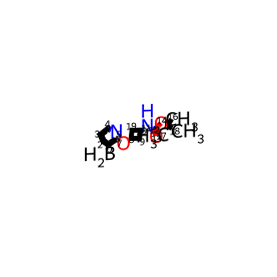 Bc1cccnc1O[C@H]1C[C@@H](NC(=O)OC(C)(C)C)C1